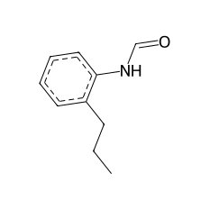 CCCc1ccccc1NC=O